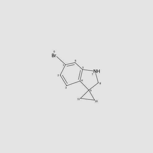 Brc1ccc2c(c1)NCC21CC1